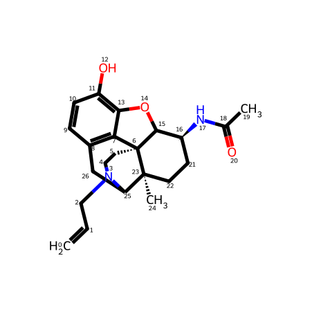 C=CCN1CC[C@]23c4c5ccc(O)c4OC2[C@@H](NC(C)=O)CC[C@@]3(C)C1C5